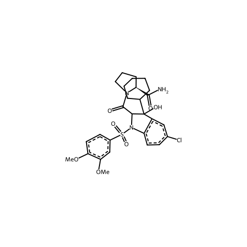 COc1ccc(S(=O)(=O)N2c3ccc(Cl)cc3C(O)(C3CCCCC3)C2C(=O)N2CCC[C@H]2C(N)=O)cc1OC